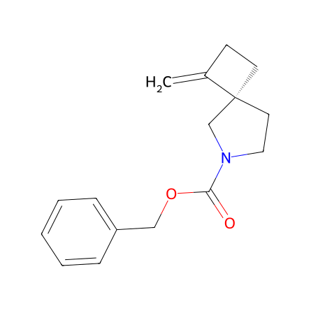 C=C1CC[C@@]12CCN(C(=O)OCc1ccccc1)C2